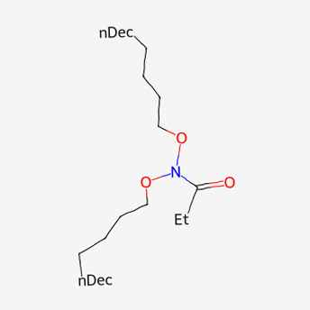 CCCCCCCCCCCCCCON(OCCCCCCCCCCCCCC)C(=O)CC